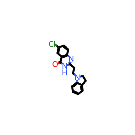 O=c1[nH]c(CCN2CCc3ccccc32)nc2ccc(Cl)cc12